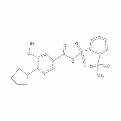 CC(C)Oc1cc(C(=O)NS(=O)(=O)c2ccccc2S(N)(=O)=O)cnc1C1CCCC1